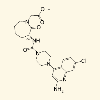 COC(=O)CN1CCCC[C@H](NC(=O)N2CCN(c3cc(N)nc4cc(Cl)ccc34)CC2)C1=O